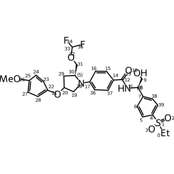 CCS(=O)(=O)c1ccc([C@H](CO)NC(=O)c2ccc(N3CC(Oc4ccc(OC)cc4)C[C@H]3COC(F)F)cc2)cc1